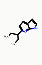 CCC(CC)c1ccc2cc[nH]c2n1